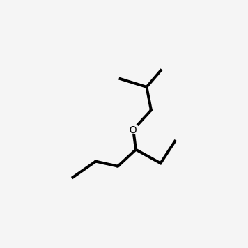 CCCC(CC)OCC(C)C